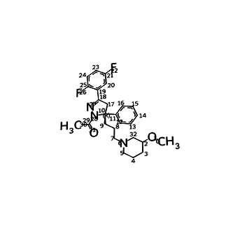 COC1CCCN(CCC[C@]2(c3ccccc3)CC(c3cc(F)ccc3F)=NN2C(C)=O)C1